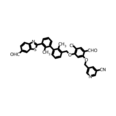 Cc1c(COc2cc(OCc3cncc(C#N)c3)c(C=O)cc2Cl)cccc1-c1cccc(-c2nc3ccc(C=O)cc3s2)c1C